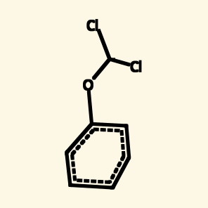 Cl[C](Cl)Oc1ccccc1